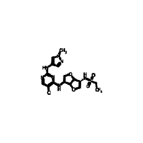 Cn1cc(Nc2ncc(Cl)c(NC3COC4C3OC[C@H]4NS(=O)(=O)CC(F)(F)F)n2)cn1